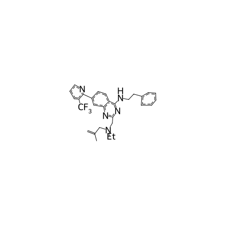 C=C(C)CN(CC)Cc1nc(NCCc2ccccc2)c2ccc(-c3ncccc3C(F)(F)F)cc2n1